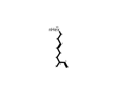 C=CC(C)CCC=CCCCCCCCC